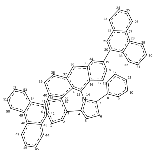 c1ccc(-c2ccc(-c3ccccc3)n2-c2c3ccc(-c4cc5ccccc5c5ccccc45)cc3cc3ccc(-c4cc5ccccc5c5ccccc45)cc23)cc1